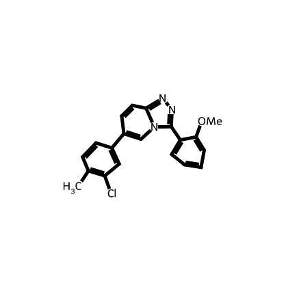 COc1ccccc1-c1nnc2ccc(-c3ccc(C)c(Cl)c3)cn12